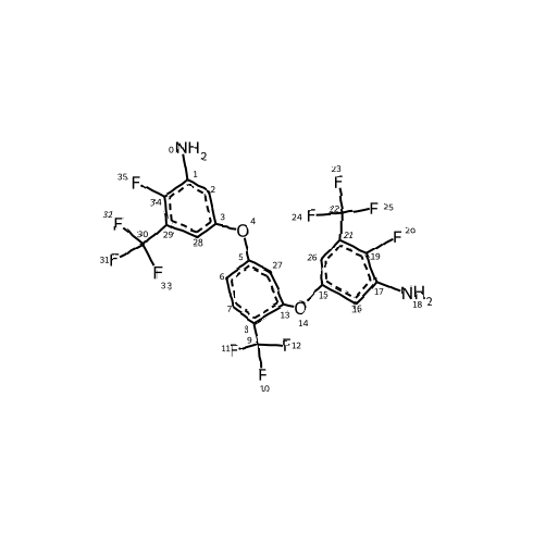 Nc1cc(Oc2ccc(C(F)(F)F)c(Oc3cc(N)c(F)c(C(F)(F)F)c3)c2)cc(C(F)(F)F)c1F